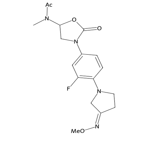 CON=C1CCN(c2ccc(N3CC(N(C)C(C)=O)OC3=O)cc2F)C1